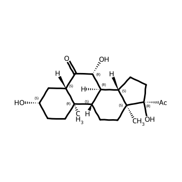 CC(=O)[C@@]1(O)CC[C@H]2[C@@H]3[C@@H](O)C(=O)[C@H]4C[C@@H](O)CC[C@]4(C)[C@H]3CC[C@@]21C